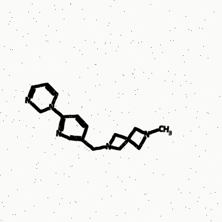 CN1CC2(C1)CN(Cc1ccc(N3C=CC=NC3)nc1)C2